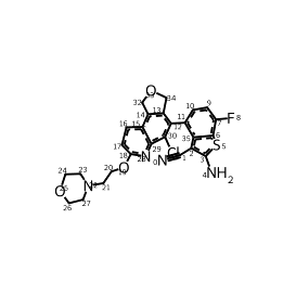 N#Cc1c(N)sc2c(F)ccc(-c3c4c(c5ccc(OCCN6CCOCC6)nc5c3Cl)COC4)c12